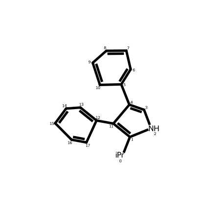 CC(C)c1[nH]cc(-c2ccccc2)c1-c1ccccc1